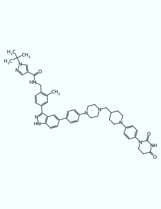 Cc1cc(-c2n[nH]c3ccc(-c4ccc(N5CCN(CC6CCN(c7ccc(N8CCC(=O)NC8=O)cc7)CC6)CC5)cc4)cc23)ccc1CNC(=O)c1cnn(C(C)(C)C)c1